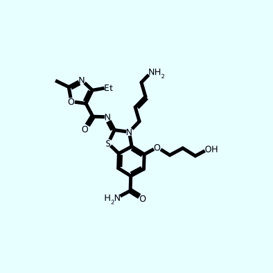 CCc1nc(C)oc1C(=O)/N=c1\sc2cc(C(N)=O)cc(OCCCO)c2n1C/C=C/CN